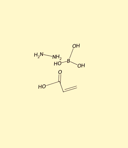 C=CC(=O)O.NN.OB(O)O